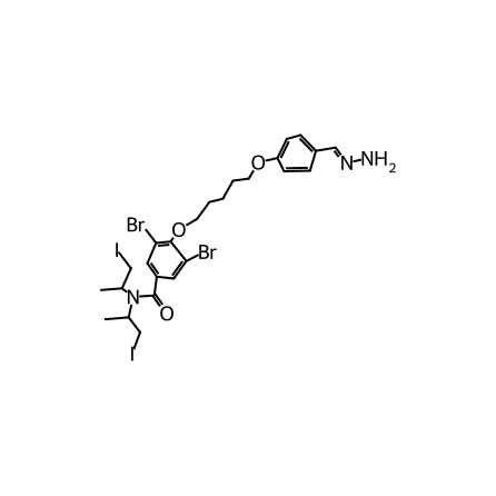 CC(CI)N(C(=O)c1cc(Br)c(OCCCCCOc2ccc(C=NN)cc2)c(Br)c1)C(C)CI